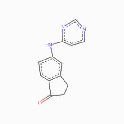 O=C1CCc2cc(Nc3ccncn3)ccc21